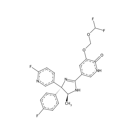 C[C@@H]1NC(c2c[nH]c(=O)c(OCOC(F)F)c2)=N[C@]1(c1ccc(F)cc1)c1ccc(F)nc1